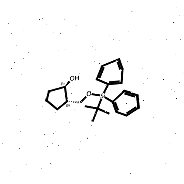 CC(C)(C)[Si](OC[C@@H]1CCC[C@H]1O)(c1ccccc1)c1ccccc1